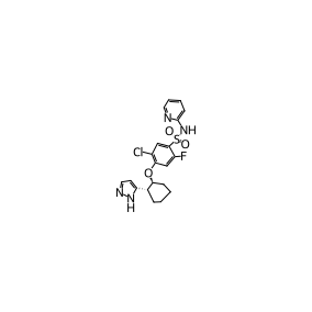 O=S(=O)(Nc1ccccn1)c1cc(Cl)c(O[C@H]2CCCC[C@@H]2c2ccn[nH]2)cc1F